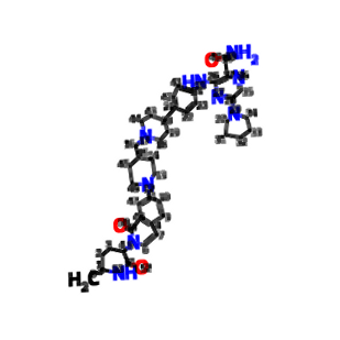 C=C1CCC(n2ccc3ccc(N4CCC(CN5CCC(c6ccc(Nc7nc(N8CCCCC8)cnc7C(N)=O)cc6)CC5)CC4)cc3c2=O)C(=O)N1